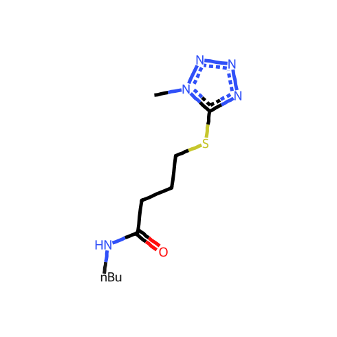 CCCCNC(=O)CCCSc1nnnn1C